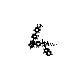 CCC(I)(/N=C(\NC)c1ccc2ccccc2c1)c1ccc(C23CC4CC(CC(c5ccc(-c6ccc(C#N)cc6)cc5)(C4)C2)C3)cc1